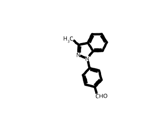 Cc1nn(-c2ccc(C=O)cc2)c2ccccc12